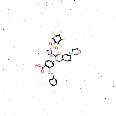 O=C(O)c1ccc(N(Cc2ccc([C@H]3CCOC3)cc2)C(=O)[C@H]2CCN2S(=O)(=O)c2c(F)c(F)c(F)c(F)c2F)cc1OCc1ccccc1